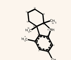 Cc1cc(C)c2c(c1)NC1(C)CCCCC21C